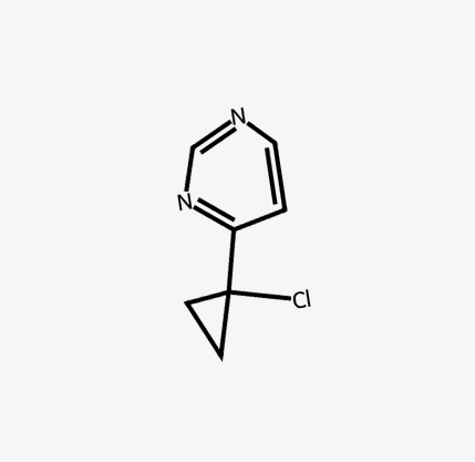 ClC1(c2ccncn2)CC1